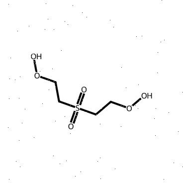 O=S(=O)(CCOO)CCOO